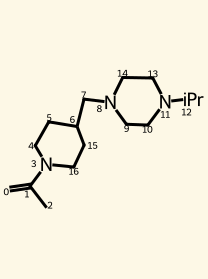 C=C(C)N1CCC(CN2CCN(C(C)C)CC2)CC1